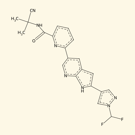 CC(C)(C#N)NC(=O)c1cccc(-c2cnc3[nH]c(-c4cnn(C(F)F)c4)cc3c2)n1